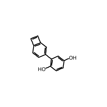 Oc1ccc(O)c(-c2ccc3c(c2)C=C3)c1